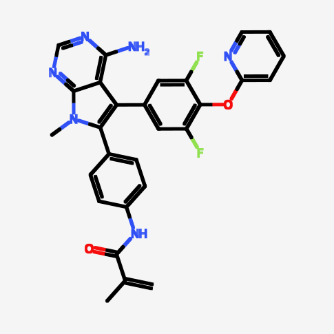 C=C(C)C(=O)Nc1ccc(-c2c(-c3cc(F)c(Oc4ccccn4)c(F)c3)c3c(N)ncnc3n2C)cc1